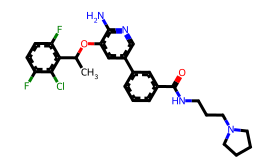 CC(Oc1cc(-c2cccc(C(=O)NCCCN3CCCC3)c2)cnc1N)c1c(F)ccc(F)c1Cl